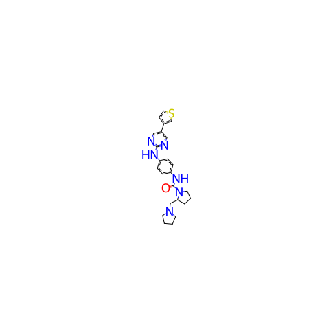 O=C(Nc1ccc(Nc2ncc(-c3ccsc3)cn2)cc1)N1CCCC1CN1CCCC1